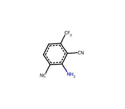 N#Cc1ccc(C(F)(F)F)c(C#N)c1N